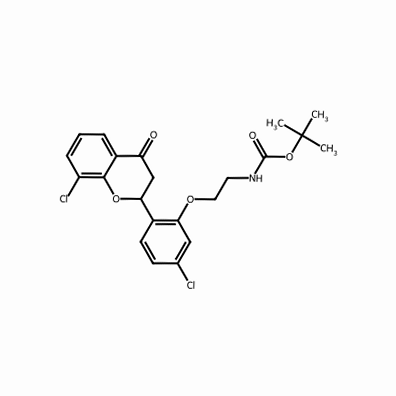 CC(C)(C)OC(=O)NCCOc1cc(Cl)ccc1C1CC(=O)c2cccc(Cl)c2O1